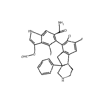 NC(=O)c1cc2[nH]cc(OC=O)c2c(F)c1-c1c(Cl)c(F)cc2c1CC1(c3ccccc3)CNCCN21